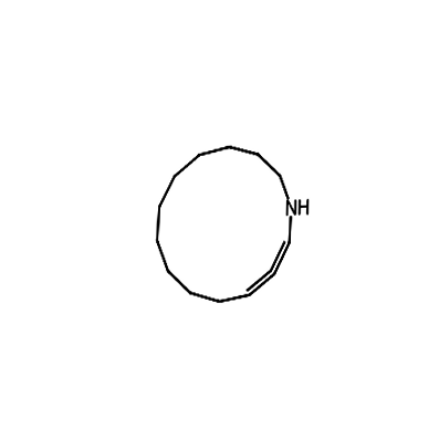 C1=CCCCCCCCCCCNC=1